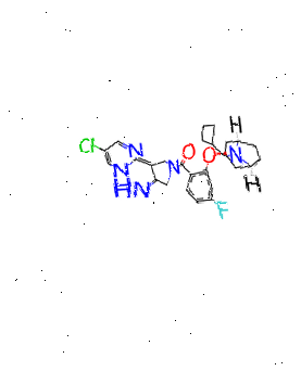 N=C1CN(C(=O)c2ccc(F)cc2O[C@H]2C[C@H]3CC[C@@H](C2)N3CC2CCC2)C/C1=C1\N=CC(Cl)=CN1